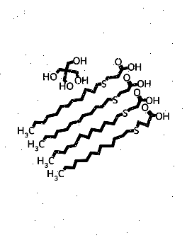 CCCCCCCCCCCCSCCC(=O)O.CCCCCCCCCCCCSCCC(=O)O.CCCCCCCCCCCCSCCC(=O)O.CCCCCCCCCCCCSCCC(=O)O.OCC(CO)(CO)CO